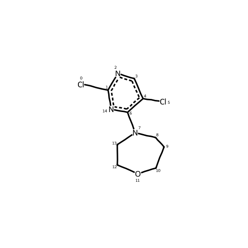 Clc1ncc(Cl)c(N2CCCOCC2)n1